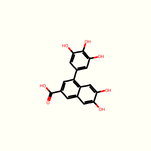 O=C(O)c1cc(-c2cc(O)c(O)c(O)c2)c2cc(O)c(O)cc2c1